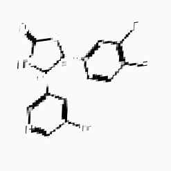 O=C1N[C@H](c2cncc(Br)c2)[C@@H](c2ccc(F)c(F)c2)O1